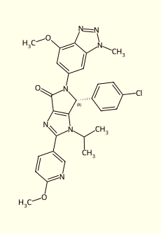 COc1ccc(-c2nc3c(n2C(C)C)[C@@H](c2ccc(Cl)cc2)N(c2cc(OC)c4nnn(C)c4c2)C3=O)cn1